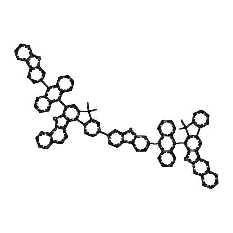 CC1(C)c2cc(-c3ccc4c(c3)sc3cc(-c5c6ccccc6c(-c6c7c(cc8c6oc6cc9ccccc9cc68)-c6ccccc6C7(C)C)c6ccccc56)ccc34)ccc2-c2c1cc(-c1c3ccccc3c(-c3ccc4c(c3)sc3ccccc34)c3ccccc13)c1oc3c4ccccc4ccc3c21